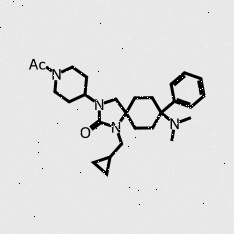 CC(=O)N1CCC(N2CC3(CCC(c4ccccc4)(N(C)C)CC3)N(CC3CC3)C2=O)CC1